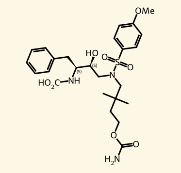 COc1ccc(S(=O)(=O)N(C[C@H](O)[C@H](Cc2ccccc2)NC(=O)O)CC(C)(C)CCOC(N)=O)cc1